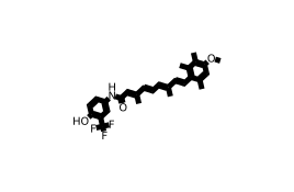 COc1cc(C)c(/C=C/C(C)=C/C=C/C(C)=C/C(=O)Nc2ccc(O)c(C(F)(F)F)c2)c(C)c1C